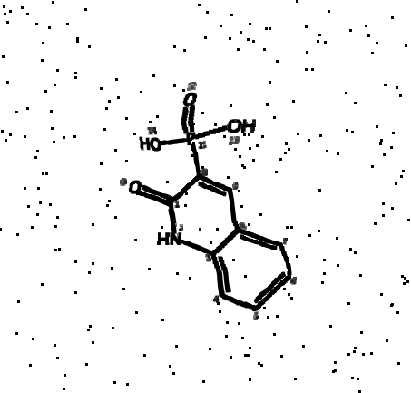 O=c1[nH]c2ccccc2cc1P(=O)(O)O